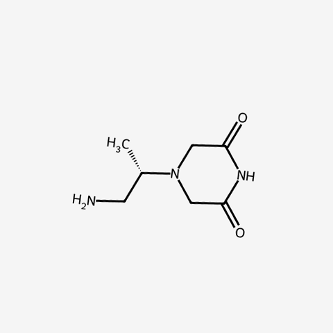 C[C@@H](CN)N1CC(=O)NC(=O)C1